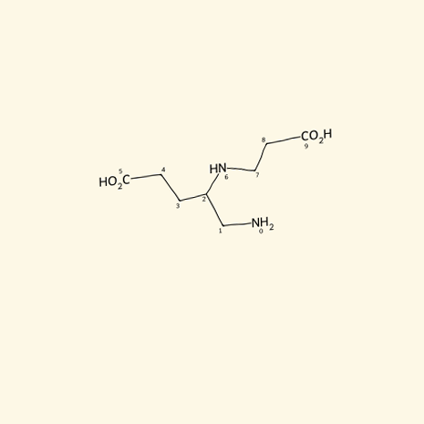 NCC(CCC(=O)O)NCCC(=O)O